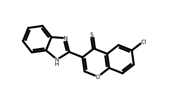 S=c1c(-c2nc3ccccc3[nH]2)coc2ccc(Cl)cc12